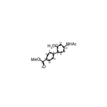 COC(=O)c1ccc(-c2ccc(NC(C)=O)cc2C)cc1